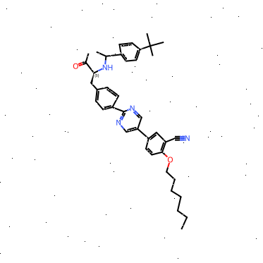 CCCCCCCOc1ccc(-c2cnc(-c3ccc(C[C@H](NC(C)c4ccc(C(C)(C)C)cc4)C(C)=O)cc3)nc2)cc1C#N